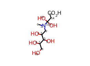 CN(CC(O)C(O)C(O)CO)C(O)(O)CC(=O)O